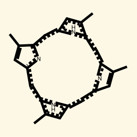 CC1=Cc2cc3[nH]c(cc4nc(cc5[nH]c(cc1n2)cc5C)C(C)=C4)cc3C